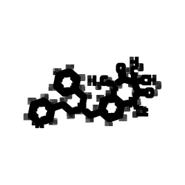 CCN1C(=O)C(C)(C)C(=O)N(C)c2cc(CN(CCc3cccnc3)Cc3ccccc3)ccc21